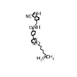 CN(C)CCCCCCOc1nccc(-c2ccc(C(=O)NCCc3ccc4[nH]cc(C#N)c4c3)cc2)n1